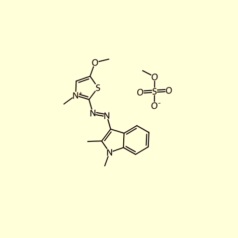 COS(=O)(=O)[O-].COc1c[n+](C)c(N=Nc2c(C)n(C)c3ccccc23)s1